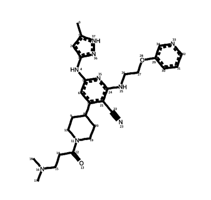 Cc1cc(Nc2cc(C3CCN(C(=O)CCN(C)C)CC3)c(C#N)c(NCCOc3cccnc3)n2)n[nH]1